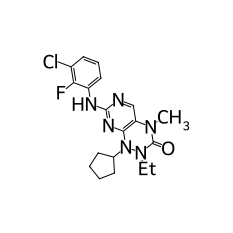 CCN1C(=O)N(C)c2cnc(Nc3cccc(Cl)c3F)nc2N1C1CCCC1